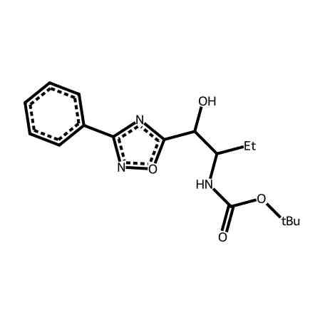 CCC(NC(=O)OC(C)(C)C)C(O)c1nc(-c2ccccc2)no1